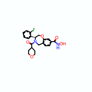 O=C(NO)c1ccc2c(c1)OC[C@H](c1ccccc1F)N(C(=O)C1CCOCC1)C2